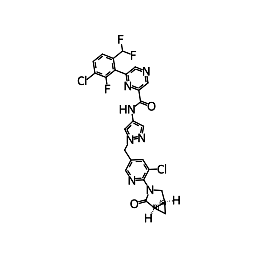 O=C(Nc1cnn(Cc2cnc(N3C[C@H]4C[C@H]4C3=O)c(Cl)c2)c1)c1cncc(-c2c(C(F)F)ccc(Cl)c2F)n1